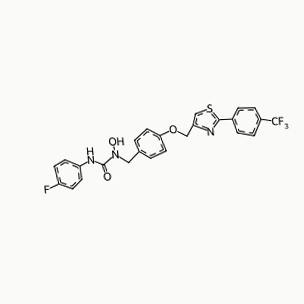 O=C(Nc1ccc(F)cc1)N(O)Cc1ccc(OCc2csc(-c3ccc(C(F)(F)F)cc3)n2)cc1